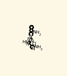 Nc1nccc(-c2n[nH]c3nc(N4CCC5(CC4)Cc4ccccc4[C@H]5N)cnc23)c1Cl